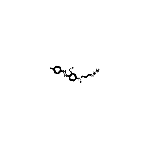 [CH2]c1ccc(N=Nc2ccc(N(C)CCCN=[N+]=[N-])cc2OC)cc1